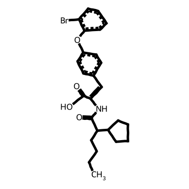 CCCCC(C(=O)N/C(=C/c1ccc(Oc2ccccc2Br)cc1)C(=O)O)C1CCCC1